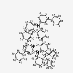 c1ccc(-c2cccc(-n3c4ccccc4c4cc(-c5ccc6c(c5)N(c5nc(-c7ccccc7)nc(-c7ccccc7)n5)c5ccccc5C65c6ccccc6-c6ccccc65)ccc43)c2)cc1